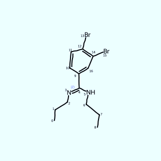 CCC/N=C(\NCCC)c1ccc(Br)c(Br)c1